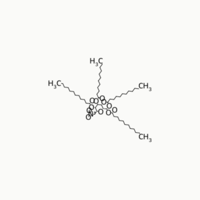 CCCCCCCCCCCC(=O)OC[C@H]1O[C@@H](C[N+](=O)[O-])[C@H](OC(=O)CCCCCCCCCCC)[C@@H](OC(=O)CCCCCCCCCCC)[C@H]1OC(=O)CCCCCCCCCCC